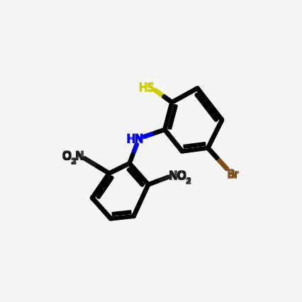 O=[N+]([O-])c1cccc([N+](=O)[O-])c1Nc1cc(Br)ccc1S